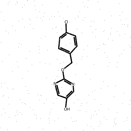 Oc1cnc(OCc2ccc(Cl)cc2)nc1